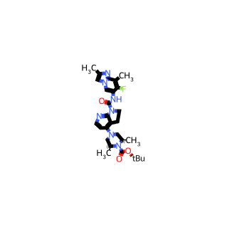 Cc1cn2cc(NC(=O)N3CCc4c(N5C[C@@H](C)N(C(=O)OC(C)(C)C)[C@@H](C)C5)ccnc43)c(F)c(C)c2n1